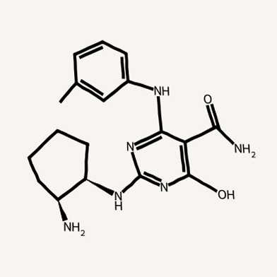 Cc1cccc(Nc2nc(N[C@@H]3CCCC[C@@H]3N)nc(O)c2C(N)=O)c1